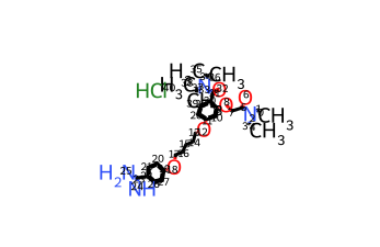 CCN(CC)C(=O)COc1cc(OCCCCCOc2ccc(C(=N)N)cc2)ccc1C(=O)N(C(C)C)C(C)C.Cl